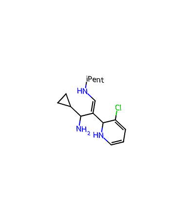 CCCC(C)N/C=C(/C1NC=CC=C1Cl)C(N)C1CC1